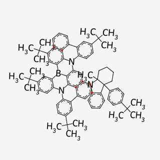 CC(C)(C)c1ccc(C23CCCCC2(C)N(c2cc4c5c(c2)N(c2ccc(C(C)(C)C)cc2-c2ccccc2)c2ccc(C(C)(C)C)cc2B5c2cc(C(C)(C)C)ccc2N4c2ccc(C(C)(C)C)cc2-c2ccccc2)c2ccccc23)cc1